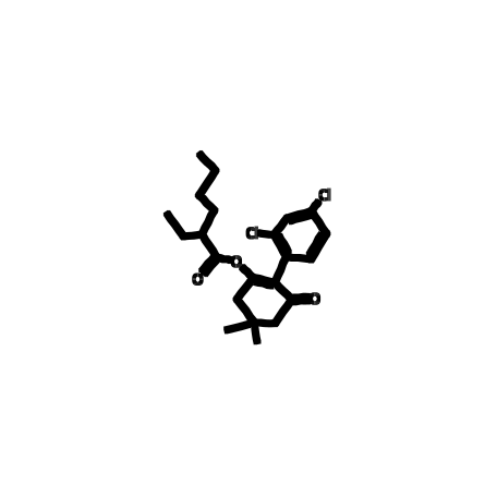 CCCCC(CC)C(=O)OC1=C(c2ccc(Cl)cc2Cl)C(=O)CC(C)(C)C1